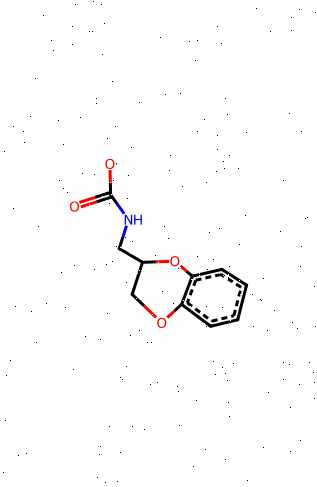 [O]C(=O)NCC1COc2ccccc2O1